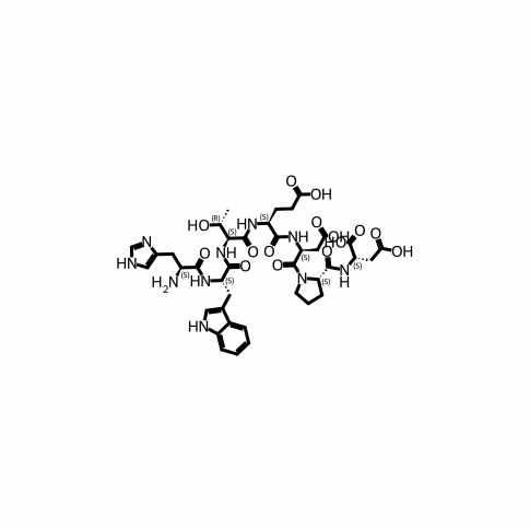 C[C@@H](O)[C@H](NC(=O)[C@H](Cc1c[nH]c2ccccc12)NC(=O)[C@@H](N)Cc1c[nH]cn1)C(=O)N[C@@H](CCC(=O)O)C(=O)N[C@@H](CC(=O)O)C(=O)N1CCC[C@H]1C(=O)N[C@@H](CC(=O)O)C(=O)O